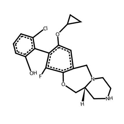 Oc1cccc(Cl)c1-c1c(OC2CC2)cc2c(c1F)OC[C@H]1CNCCN1C2